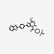 COC(=O)c1sc(-c2ccc(-c3nc4ncccc4o3)cc2)cc1N(C(=O)[C@H]1CC[C@H](C(F)(F)F)CC1)C(C)C